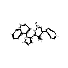 O=c1c(-c2ccncc2)c[nH]nc1-c1ccnn1-c1ccnc2ccccc12